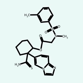 Cc1cccc(S(=O)(=O)N(C)CC(=O)OC2CCCCC2(C(N)=S)c2ccc3nccn3c2)c1